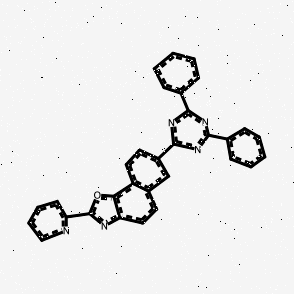 c1ccc(-c2nc(-c3ccccc3)nc(-c3ccc4c(ccc5nc(-c6ccccn6)oc54)c3)n2)cc1